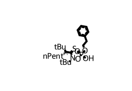 CCCCC[C@@H](C(=S)N(OP(=O)(O)OCCc1ccccc1)C(C)(C)C)C(C)(C)C